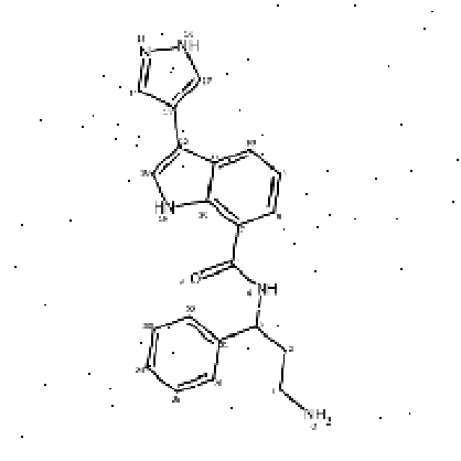 NCCC(NC(=O)c1cccc2c(-c3cn[nH]c3)c[nH]c12)c1ccccc1